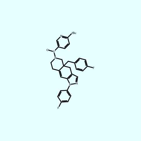 CC(C)(C)c1ccc([S+]([O-])N2CCC3=Cc4c(cnn4-c4ccc(F)cc4)CC3(Cc3ccc(F)cc3)C2)cn1